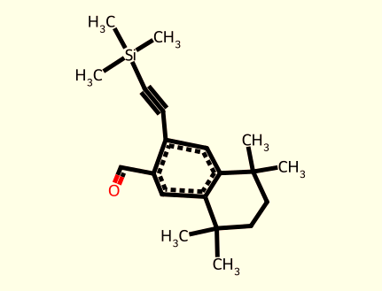 CC1(C)CCC(C)(C)c2cc(C=O)c(C#C[Si](C)(C)C)cc21